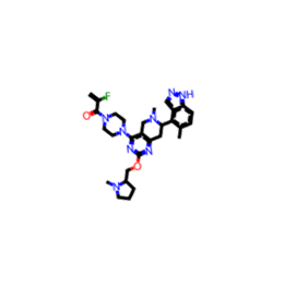 C=C(F)C(=O)N1CCN(c2nc(OCC3CCCN3C)nc3c2CN(C)C(c2c(C)ccc4[nH]ncc24)C3)CC1